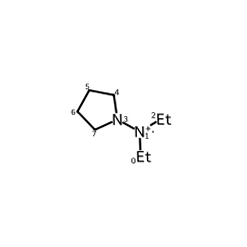 CC[N+](CC)N1CCCC1